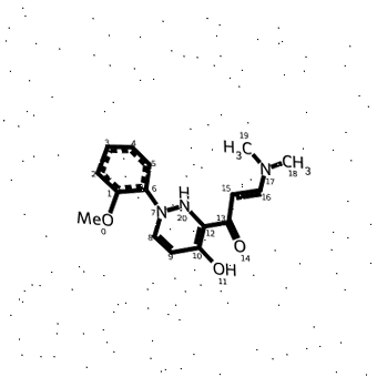 COc1ccccc1N1C=CC(O)=C(C(=O)C=CN(C)C)N1